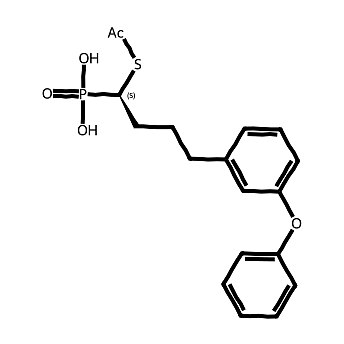 CC(=O)S[C@@H](CCCc1cccc(Oc2ccccc2)c1)P(=O)(O)O